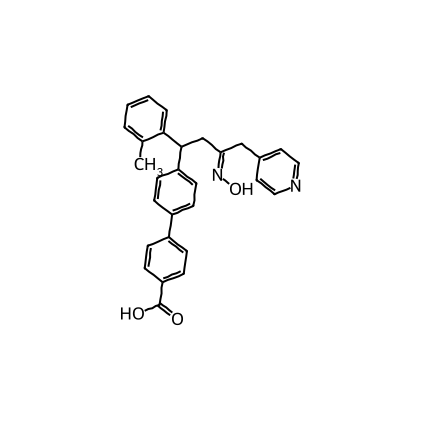 Cc1ccccc1C(CC(Cc1ccncc1)=NO)c1ccc(-c2ccc(C(=O)O)cc2)cc1